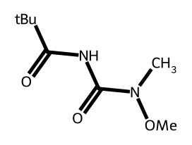 CON(C)C(=O)NC(=O)C(C)(C)C